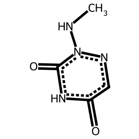 CNn1ncc(=O)[nH]c1=O